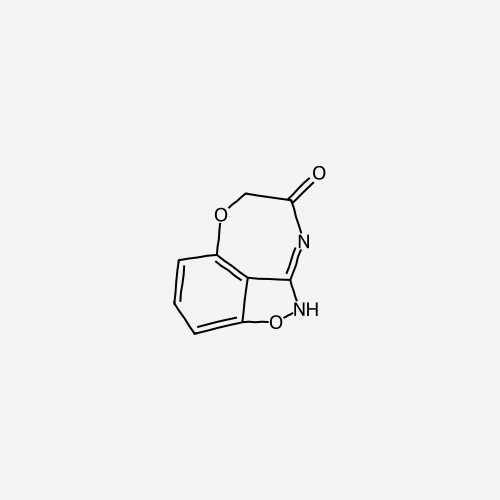 O=C1COc2cccc3c2C(=N1)NO3